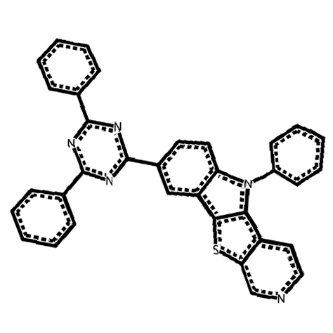 c1ccc(-c2nc(-c3ccccc3)nc(-c3ccc4c(c3)c3sc5cnccc5c3n4-c3ccccc3)n2)cc1